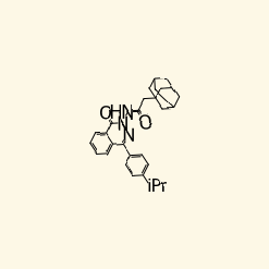 CC(C)c1ccc(-c2nn(NC(=O)CC34CC5CC(CC(C5)C3)C4)c(=O)c3ccccc23)cc1